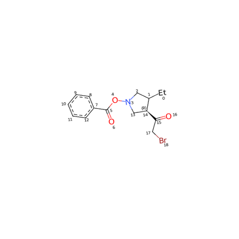 CCC1CN(OC(=O)c2ccccc2)C[C@@H]1C(=O)CBr